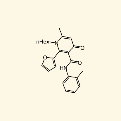 CCCCCCn1c(C)cc(=O)c(C(=O)Nc2ccccc2C)c1-c1ccco1